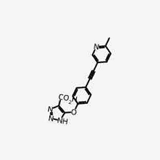 Cc1ccc(C#Cc2ccc(Oc3[nH]nnc3C(=O)O)cc2)cn1